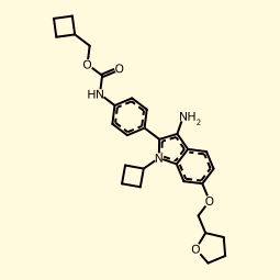 Nc1c(-c2ccc(NC(=O)OCC3CCC3)cc2)n(C2CCC2)c2cc(OCC3CCCO3)ccc12